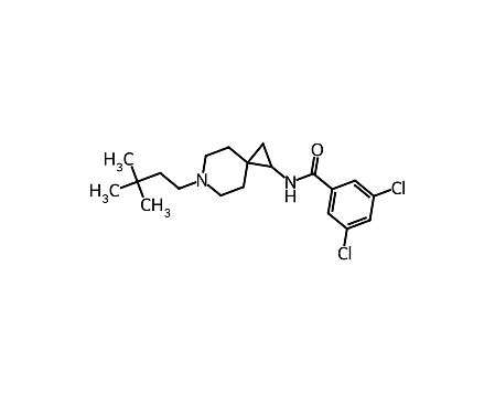 CC(C)(C)CCN1CCC2(CC1)CC2NC(=O)c1cc(Cl)cc(Cl)c1